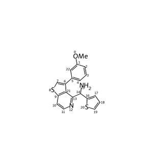 COc1cccc(-c2csc3ccnc(C(N)c4cccs4)c23)c1